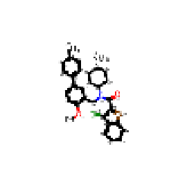 CCOc1ccc(-c2ccc(C)cc2)cc1CN(C(=O)c1sc2ccccc2c1Cl)[C@H]1CC[C@H](NC)CC1